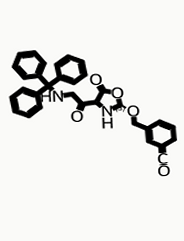 O=C=C1C=C(CO[C@@H]2NC(C(=O)CNC(c3ccccc3)(c3ccccc3)c3ccccc3)C(=O)O2)C=CC1